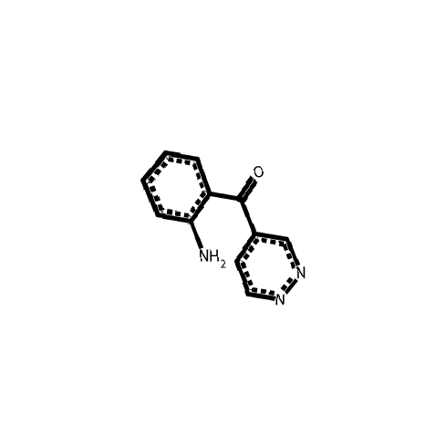 Nc1ccccc1C(=O)c1ccnnc1